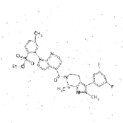 CCOS(=O)(=O)c1ccc(C)cc1-n1ccc2c(C(=O)N3CCc4c(nn(C)c4-c4cc(F)cc(F)c4)[C@@H]3C)ccnc21